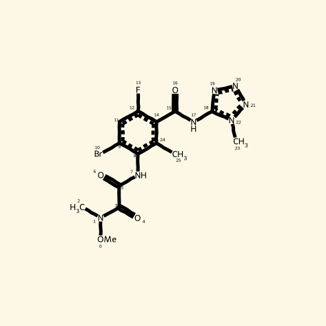 CON(C)C(=O)C(=O)Nc1c(Br)cc(F)c(C(=O)Nc2nnnn2C)c1C